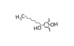 CCCCCCCCC(O)c1cc(I)c(O)c(I)c1